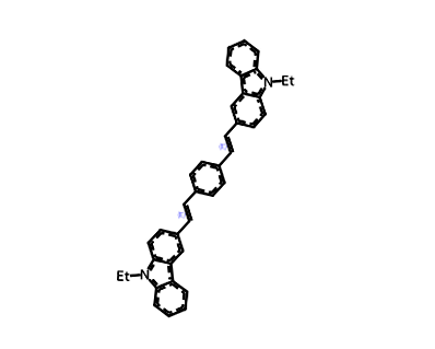 CCn1c2ccccc2c2cc(/C=C/c3ccc(/C=C/c4ccc5c(c4)c4ccccc4n5CC)cc3)ccc21